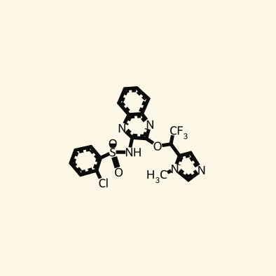 Cn1cncc1C(Oc1nc2ccccc2nc1NS(=O)(=O)c1ccccc1Cl)C(F)(F)F